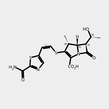 C[C@@H](O)[C@H]1C(=O)N2C(C(=O)O)=C(S/C=C\c3cnc(C(N)=O)s3)[C@H](C)[C@H]12